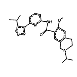 COc1cc2c(cc1C(=O)Nc1cccc(-c3nncn3C(C)C)n1)CN(C(C)C)CC2